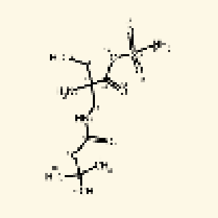 CCC(N)(CNC(=O)OC(C)(C)C)C(=O)OS(N)(=O)=O